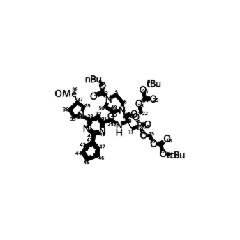 CCCCOC(=O)N1CCN(C(=O)[C@H](CP(=O)(OCOC(=O)OC(C)(C)C)OCOC(=O)OC(C)(C)C)NC(=O)c2cc(N3CC[C@H](OC)C3)nc(-c3ccccc3)n2)CC1